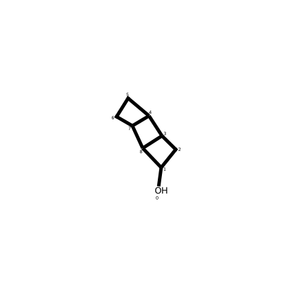 OC1CC2C3CCC3C12